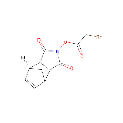 O=C(CBr)ON1C(=O)C2C3C=C[C@H](C3)C2C1=O